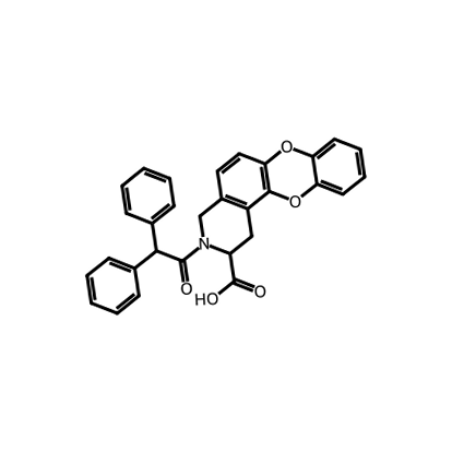 O=C(O)C1Cc2c(ccc3c2Oc2ccccc2O3)CN1C(=O)C(c1ccccc1)c1ccccc1